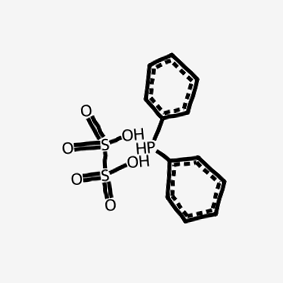 O=S(=O)(O)S(=O)(=O)O.c1ccc(Pc2ccccc2)cc1